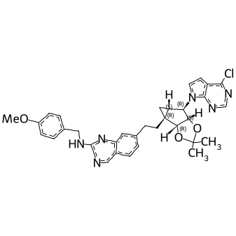 COc1ccc(CNc2ncc3ccc(CC[C@@]45C[C@@H]4[C@@H](n4ccc6c(Cl)ncnc64)[C@@H]4OC(C)(C)O[C@@H]45)cc3n2)cc1